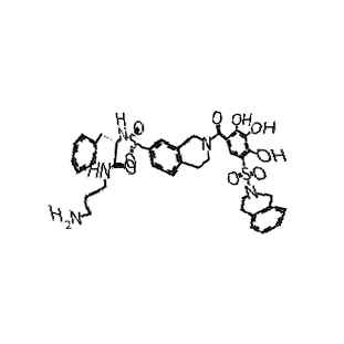 NCCCNC(=O)[C@H](Cc1ccccc1)NS(=O)(=O)c1ccc2c(c1)CN(C(=O)c1cc(S(=O)(=O)N3CCc4ccccc4C3)c(O)c(O)c1O)CC2